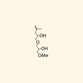 C=C(C)CC(O)COCC(O)COC